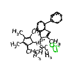 CC1=Cc2c(-c3ccccc3)cccc2[CH]1[Hf+2]([CH]1C(C)=C(C)C(C)=C1C)[SiH](C)C.[Cl-].[Cl-]